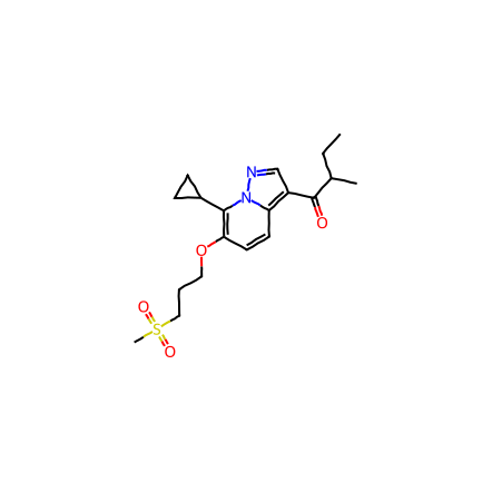 CCC(C)C(=O)c1cnn2c(C3CC3)c(OCCCS(C)(=O)=O)ccc12